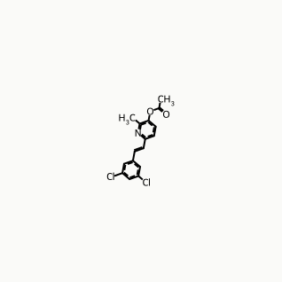 CC(=O)Oc1ccc(C=Cc2cc(Cl)cc(Cl)c2)nc1C